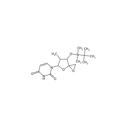 CC1C(n2ccc(=O)[nH]c2=O)OC2(CO2)C1O[Si](C)(C)C(C)(C)C